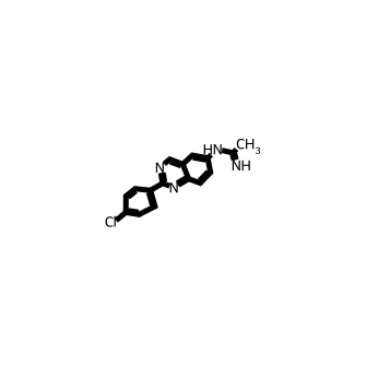 CC(=N)Nc1ccc2nc(-c3ccc(Cl)cc3)ncc2c1